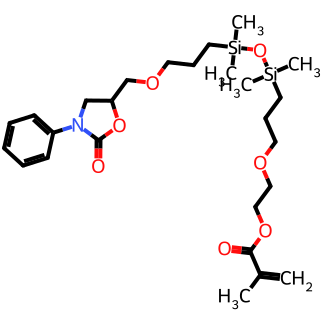 C=C(C)C(=O)OCCOCCC[Si](C)(C)O[Si](C)(C)CCCOCC1CN(c2ccccc2)C(=O)O1